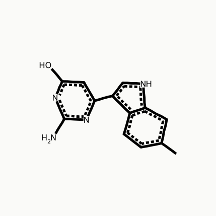 Cc1ccc2c(-c3cc(O)nc(N)n3)c[nH]c2c1